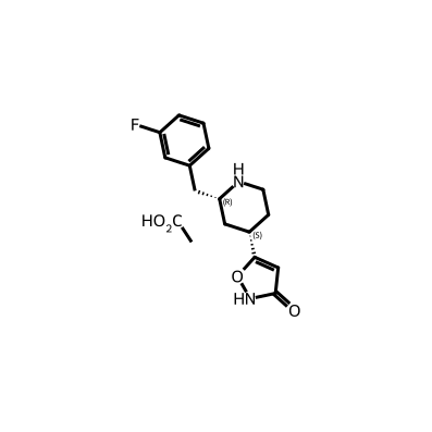 CC(=O)O.O=c1cc([C@H]2CCN[C@@H](Cc3cccc(F)c3)C2)o[nH]1